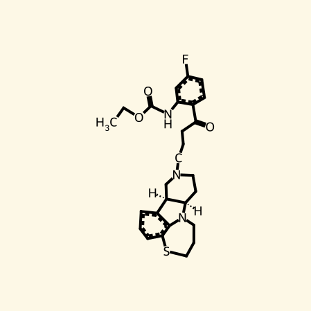 CCOC(=O)Nc1cc(F)ccc1C(=O)CCCN1CC[C@@H]2[C@H](C1)c1cccc3c1N2CCCS3